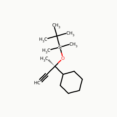 C#C[C@@](C)(O[Si](C)(C)C(C)(C)C)C1CCCCC1